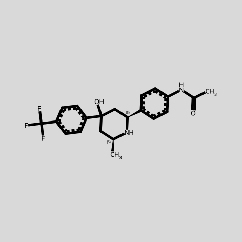 CC(=O)Nc1ccc([C@@H]2CC(O)(c3ccc(C(F)(F)F)cc3)C[C@H](C)N2)cc1